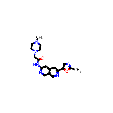 Cc1ncc(-c2cc3cc(NC(=O)CN4CCN(C)CC4)ncc3cn2)o1